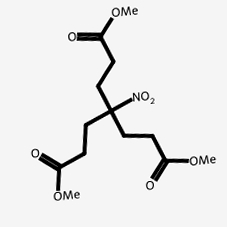 COC(=O)CCC(CCC(=O)OC)(CCC(=O)OC)[N+](=O)[O-]